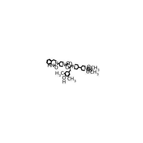 CC1=CC(C[C@@H](OC(=O)N2CCC(N3CCc4ccccc4NC3=O)CC2)C(=O)N2CCC(C3CCN(S(=O)(=O)N(C)C)CC3)CC2)CC(C)=C1O